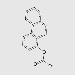 [O]C(=O)Oc1cccc2c1ccc1ccccc12